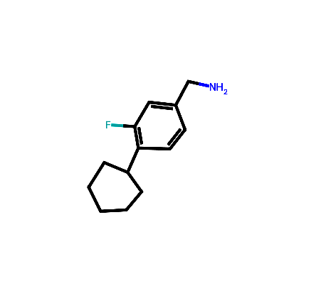 NCc1ccc(C2CCCCC2)c(F)c1